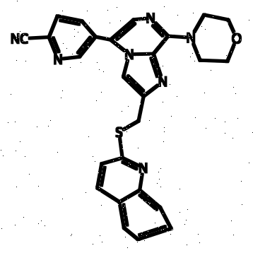 N#Cc1ccc(-c2cnc(N3CCOCC3)c3nc(CSc4ccc5ccccc5n4)cn23)cn1